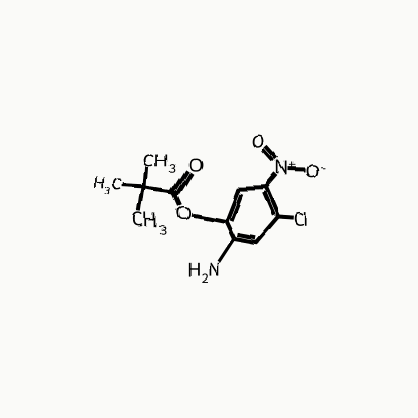 CC(C)(C)C(=O)Oc1cc([N+](=O)[O-])c(Cl)cc1N